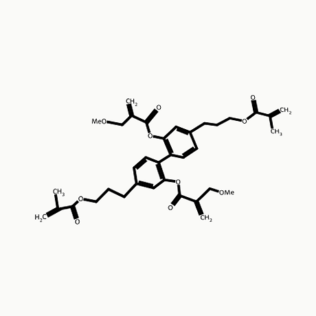 C=C(C)C(=O)OCCCc1ccc(-c2ccc(CCCOC(=O)C(=C)C)cc2OC(=O)C(=C)COC)c(OC(=O)C(=C)COC)c1